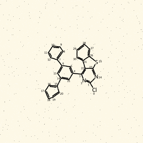 Clc1nc(-c2cc(-c3ccccc3)cc(-c3ccccc3)c2)c2c(n1)sc1ccccc12